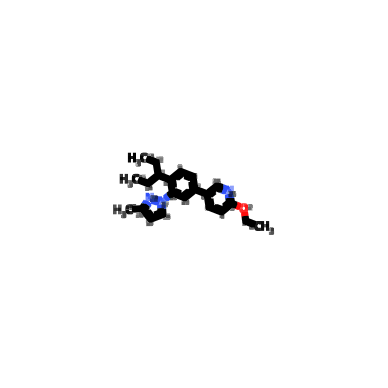 CCOc1ccc(-c2ccc(C(CC)CC)c(-n3ccc(C)n3)c2)cn1